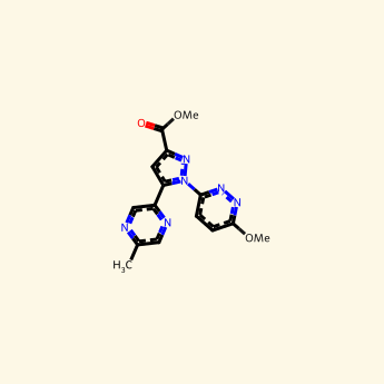 COC(=O)c1cc(-c2cnc(C)cn2)n(-c2ccc(OC)nn2)n1